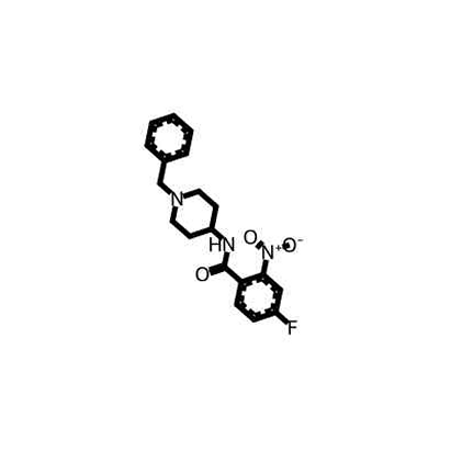 O=C(NC1CCN(Cc2ccccc2)CC1)c1ccc(F)cc1[N+](=O)[O-]